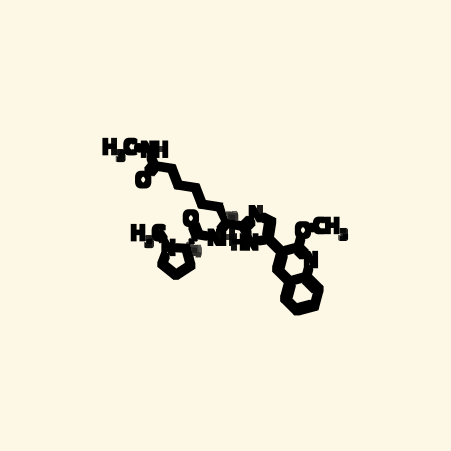 CNC(=O)CCCCC[C@H](NC(=O)[C@@H]1CCCN1C)c1ncc(-c2cc3ccccc3nc2OC)[nH]1